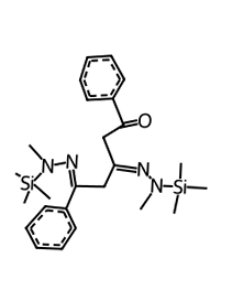 CN(N=C(CC(=O)c1ccccc1)CC(=NN(C)[Si](C)(C)C)c1ccccc1)[Si](C)(C)C